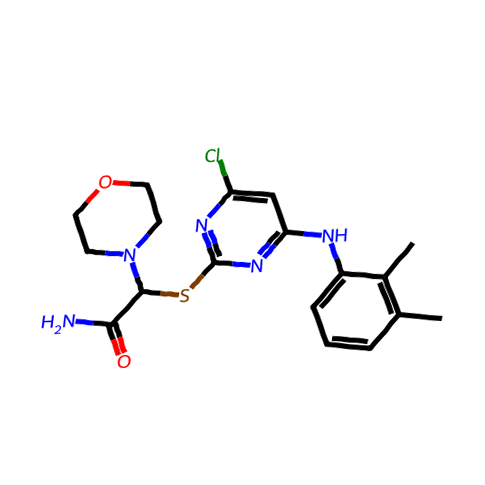 Cc1cccc(Nc2cc(Cl)nc(SC(C(N)=O)N3CCOCC3)n2)c1C